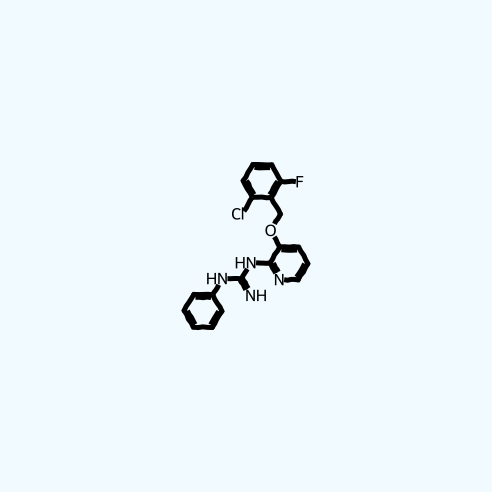 N=C(Nc1ccccc1)Nc1ncccc1OCc1c(F)cccc1Cl